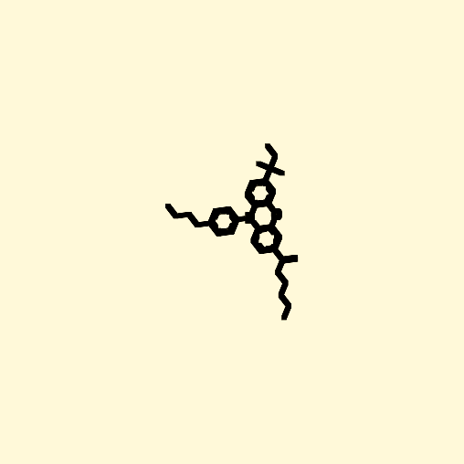 C=C(CCCCC)c1ccc2c(c1)Oc1cc(C(C)(C)CC)ccc1N2c1ccc(CCCC)cc1